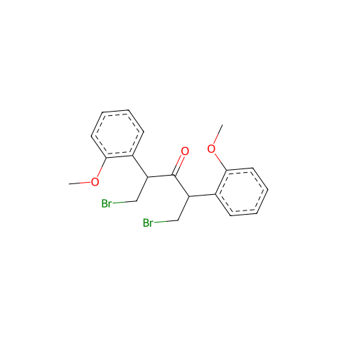 COc1ccccc1C(CBr)C(=O)C(CBr)c1ccccc1OC